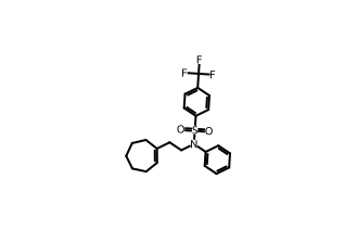 O=S(=O)(c1ccc(C(F)(F)F)cc1)N(CCC1=CCCCCC1)c1ccccc1